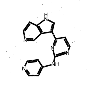 c1cc(Nc2nccc(-c3c[nH]c4ccncc34)n2)ccn1